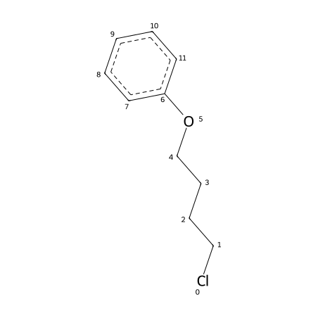 ClCCCCOc1ccccc1